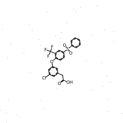 O=C(O)Cc1cc(Cl)cc(Oc2ccc(S(=O)(=O)c3ccccc3)cc2C(F)(F)F)c1